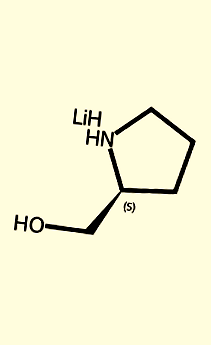 OC[C@@H]1CCCN1.[LiH]